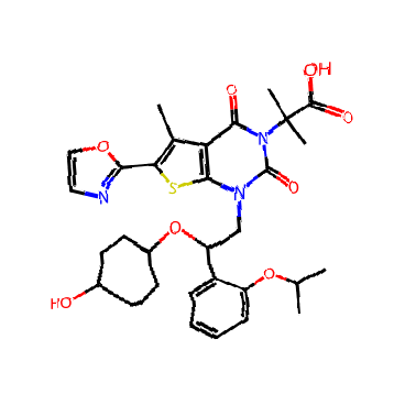 Cc1c(-c2ncco2)sc2c1c(=O)n(C(C)(C)C(=O)O)c(=O)n2CC(OC1CCC(O)CC1)c1ccccc1OC(C)C